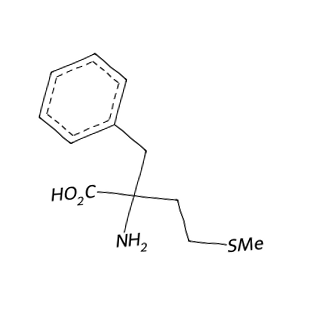 CSCCC(N)(Cc1ccccc1)C(=O)O